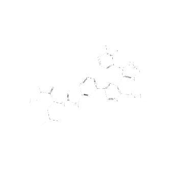 CC(C)CC(NC(=O)Nc1cccc(-c2cnc(N)c(-c3nnnn3-c3cccc(F)c3F)c2)c1)C(=O)C(C)O